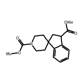 COC(=O)C1CC2(CCN(C(=O)OC(C)(C)C)CC2)c2ccccc21